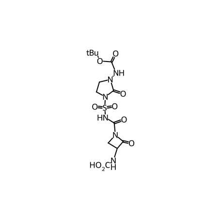 CC(C)(C)OC(=O)NN1CCN(S(=O)(=O)NC(=O)N2CC(NC(=O)O)C2=O)C1=O